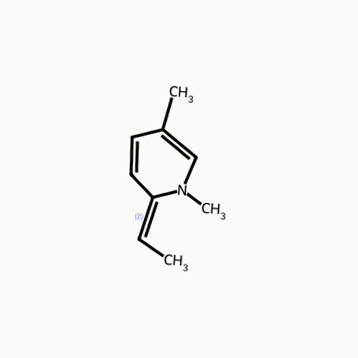 C/C=C1/C=CC(C)=CN1C